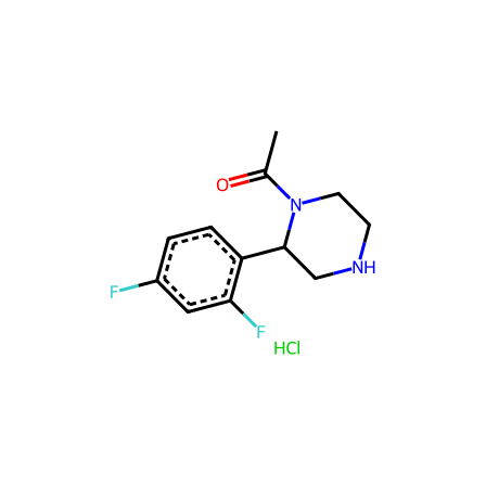 CC(=O)N1CCNCC1c1ccc(F)cc1F.Cl